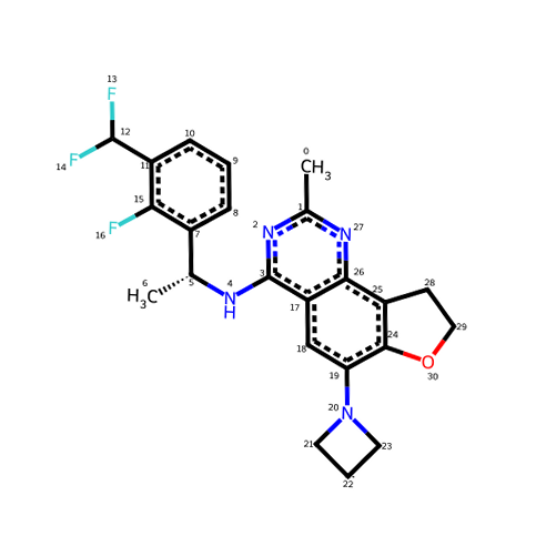 Cc1nc(N[C@H](C)c2cccc(C(F)F)c2F)c2cc(N3C[CH]C3)c3c(c2n1)CCO3